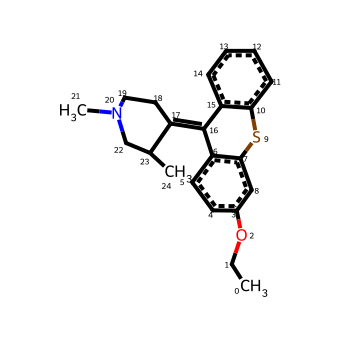 CCOc1ccc2c(c1)Sc1ccccc1C2=C1CCN(C)CC1C